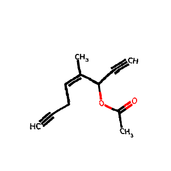 C#CCC=C(C)C(C#C)OC(C)=O